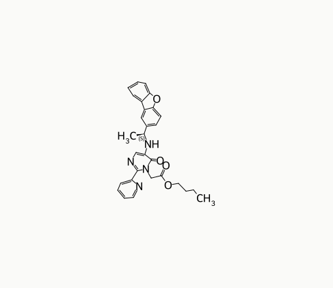 CCCCOC(=O)Cn1c(-c2ccccn2)ncc(N[C@@H](C)c2ccc3oc4ccccc4c3c2)c1=O